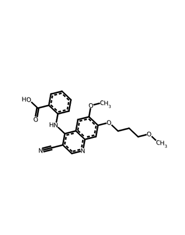 COCCCOc1cc2ncc(C#N)c(Nc3ccccc3C(=O)O)c2cc1OC